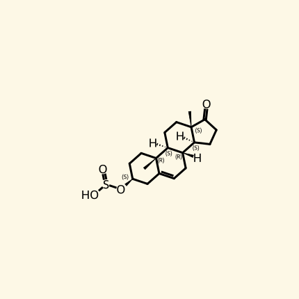 C[C@]12CC[C@H](OS(=O)O)CC1=CC[C@@H]1[C@@H]2CC[C@]2(C)C(=O)CC[C@@H]12